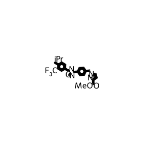 COC(=O)c1ccn(Cc2ccc(-c3noc(-c4ccc(CC(C)C)c(C(F)(F)F)c4)n3)cc2)n1